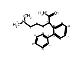 CN(C)CCCC(C(N)=O)c1ccccc1-c1ccccc1